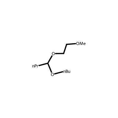 [CH2]CCC(OCCCC)OCCOC